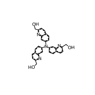 OCc1ccc2ccc(N(c3ccc4ccc(CO)nc4c3)c3ccc4ccc(CO)nc4c3)cc2n1